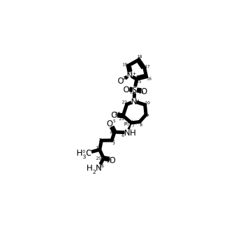 CC(C[CH]C(=O)N[C@@H]1CCCN(S(=O)(=O)c2cccc[n+]2[O-])CC1=O)C(N)=O